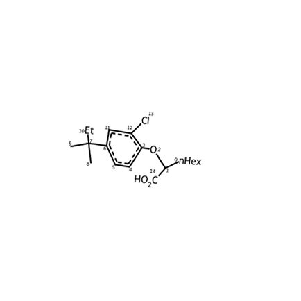 CCCCCCC(Oc1ccc(C(C)(C)CC)cc1Cl)C(=O)O